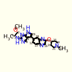 COC[C@H](C)Nc1ncc2c(-c3ccc4ncc(OC5CCN(C)CC5)nc4c3)c[nH]c2n1